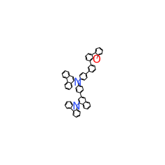 c1cc(-c2ccc(N(c3ccc(-c4cc(-n5c6ccccc6c6ccccc65)c5ccccc5c4)cc3)c3cc4ccccc4c4ccccc34)cc2)cc(-c2cccc3c2oc2ccccc23)c1